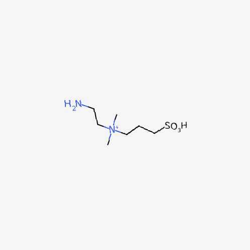 C[N+](C)(CCN)CCCS(=O)(=O)O